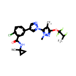 Cn1nc(OC(F)(F)C(F)C(F)(F)F)c(C(F)(F)F)c1-n1cc(-c2ccc(Cl)c(C(=O)NC3(C#N)CC3)c2)cn1